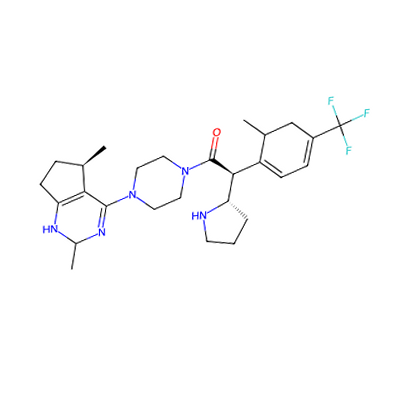 CC1N=C(N2CCN(C(=O)[C@@H](C3=CC=C(C(F)(F)F)CC3C)[C@@H]3CCCN3)CC2)C2=C(CC[C@H]2C)N1